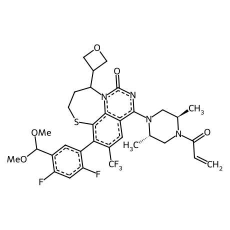 C=CC(=O)N1C[C@H](C)N(c2nc(=O)n3c4c(c(-c5cc(C(OC)OC)c(F)cc5F)c(C(F)(F)F)cc24)SCCC3C2COC2)C[C@H]1C